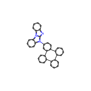 c1ccc2c(c1)-c1ccccc1-c1ccc(-n3c4ccccc4n4c5ccccc5nc34)cc1-c1ccccc1-2